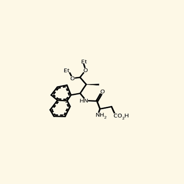 CCOC(OCC)[C@@H](C)C(NC(=O)C(N)CC(=O)O)c1cccc2ccccc12